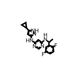 CC(Nc1cc(Nc2cc(C3CC3)[nH]n2)ncn1)c1cc(F)ccc1F